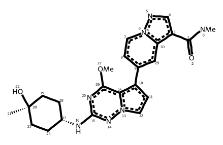 CNC(=O)c1cnn2ccc(-c3ccn4nc(N[C@H]5CC[C@](C)(O)CC5)nc(OC)c34)cc12